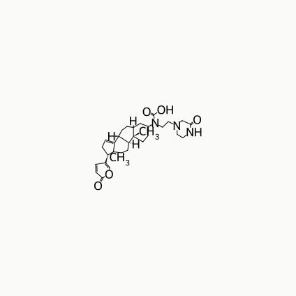 C[C@]12CC[C@H](N(CCN3CCNC(=O)C3)C(=O)O)C[C@H]1CC[C@H]1C3=CC[C@H](c4ccc(=O)oc4)[C@@]3(C)CC[C@@H]12